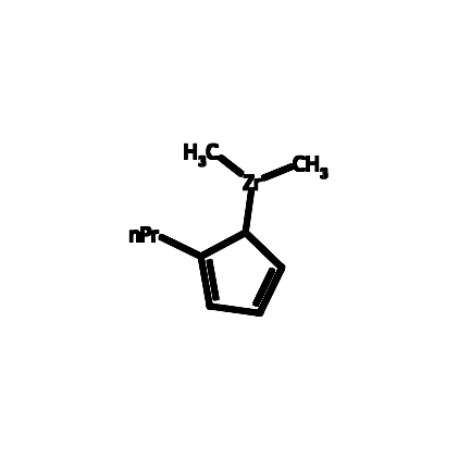 CCCC1=CC=C[CH]1[Zr]([CH3])[CH3]